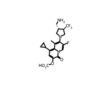 Cc1c(N2C[C@H](CN)[C@@H](C(F)(F)F)C2)c(F)cn2c(=O)c(OC(=O)O)cc(C3CC3)c12